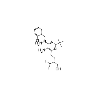 CC(C)(C)c1nc(CCC(CO)C(F)F)c(N)c(N(N)Cc2ccccc2Cl)n1